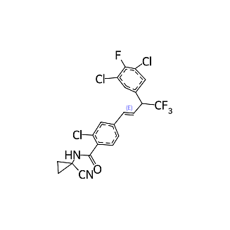 N#CC1(NC(=O)c2ccc(/C=C/C(c3cc(Cl)c(F)c(Cl)c3)C(F)(F)F)cc2Cl)CC1